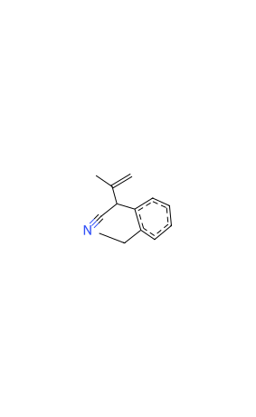 C=C(C)C(C#N)c1ccccc1CC